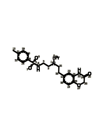 CCCN(CCNS(=O)(=O)c1ccc(C)cc1)CCc1ccc2c(c1)NC(=O)CO2